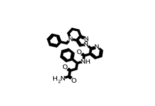 NC(=O)C(=O)CC(NC(=O)c1cccnc1-n1cc2c(n1)CCCN2Cc1ccccc1)c1ccccc1